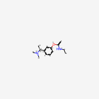 C=C(NCC)Oc1cccc([C@H](C)N(C)C)c1